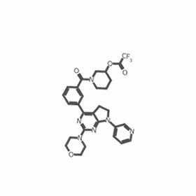 O=C(c1cccc(-c2nc(N3CCOCC3)nc3c2CCN3c2cccnc2)c1)N1CCCC(OC(=O)C(F)(F)F)C1